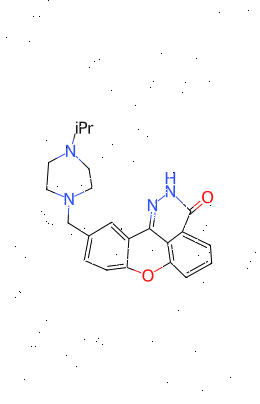 CC(C)N1CCN(Cc2ccc3c(c2)-c2n[nH]c(=O)c4cccc(c24)O3)CC1